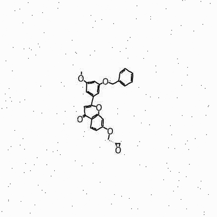 COc1cc(OCc2ccccc2)cc(-c2cc(=O)c3ccc(OC[C@@H]4CO4)cc3o2)c1